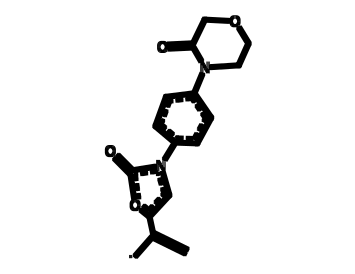 [CH2]C(=C)c1cn(-c2ccc(N3CCOCC3=O)cc2)c(=O)o1